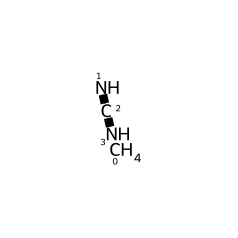 C.N=C=N